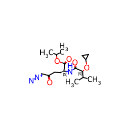 CC(C)OC(=O)[C@H](CCC(=O)C=[N+]=[N-])NC(=O)[C@@H](OC1CC1)C(C)C